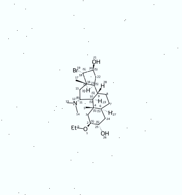 CCO[C@H]1C[C@@]2(C)[C@@H](CC[C@@H]3[C@@H]2[C@H](N(C)C)C[C@]2(C)[C@H](Br)[C@@H](O)C[C@@H]32)C[C@@H]1O